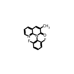 Cc1cc2cccnc2n(-c2c(F)cccc2F)c1=O